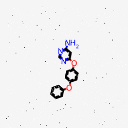 Nc1cc(Oc2ccc(Oc3ccccc3)cc2)ncn1